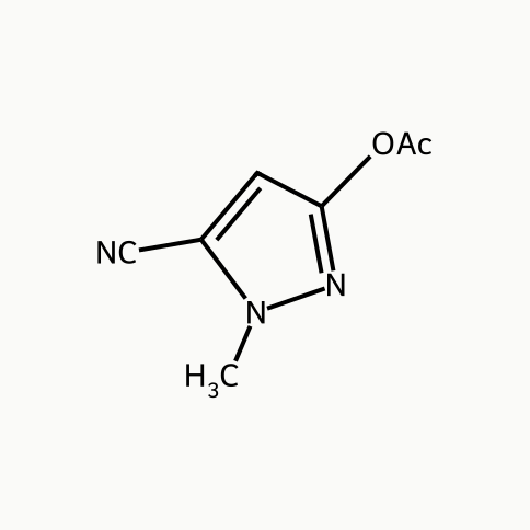 CC(=O)Oc1cc(C#N)n(C)n1